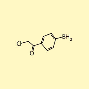 Bc1ccc(C(=O)CCl)cc1